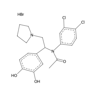 Br.CC(=O)N(c1ccc(Cl)c(Cl)c1)C(CN1CCCC1)c1ccc(O)c(O)c1